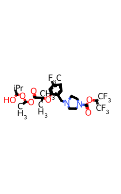 CC(OC(=O)C(C)(C)Oc1cc(C(F)(F)F)ccc1CN1CCN(C(=O)OC(C(F)(F)F)C(F)(F)F)CC1)OC(O)C(C)C